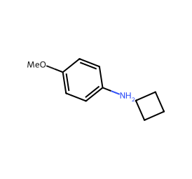 C1CCC1.COc1ccc(N)cc1